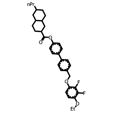 CCCC1CCC2CC(C(=O)Oc3ccc(-c4ccc(COc5ccc(OCC)c(F)c5F)cc4)cc3)CCC2C1